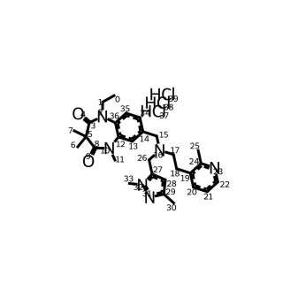 CCN1C(=O)C(C)(C)C(=O)N(C)c2cc(CN(CCc3cccnc3C)Cc3cc(C)nn3C)ccc21.Cl.Cl.Cl